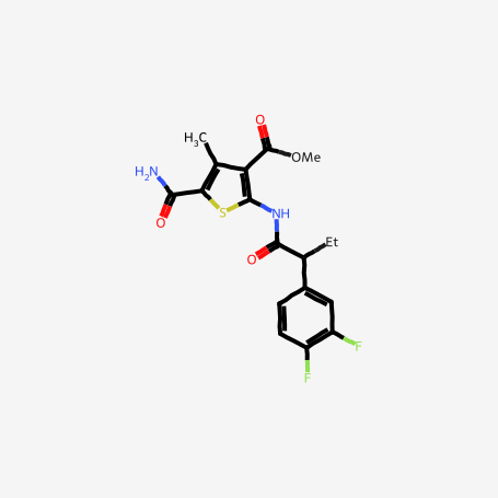 CCC(C(=O)Nc1sc(C(N)=O)c(C)c1C(=O)OC)c1ccc(F)c(F)c1